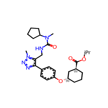 CC(C)OC(=O)[C@H]1CCC[C@H](Oc2ccc(-c3nnn(C)c3CNC(=O)N(C)C3CCCC3)cc2)C1